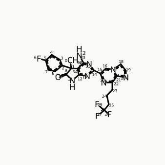 CC1(c2ccc(F)cc2)C(=O)Nc2nc(-c3cn4ccnc4c(CCCC(F)(F)F)n3)nc(N)c21